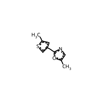 Cc1cnc(-c2csc(C)c2)o1